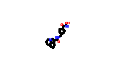 O=C(NO)c1ccc(CNC(=O)c2cn3c4c(cccc24)CCC3)cc1